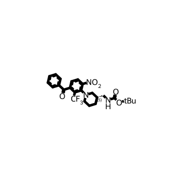 CC(C)(C)OC(=O)NC[C@@H]1CCCN(c2c([N+](=O)[O-])ccc(C(=O)c3ccccc3)c2C(F)(F)F)C1